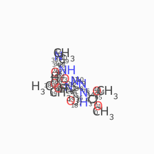 COc1ccc(CNc2ncnc3c2c(C2C=CCO2)cn3[C@@H]2O[C@H](C(=O)NC3CCN(C)CC3)[C@H]3OC(C)(C)O[C@H]32)c(OC)c1